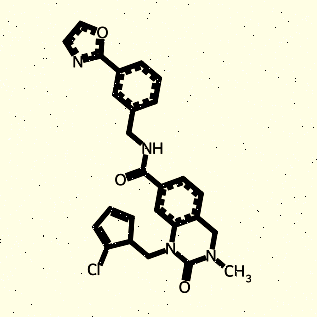 CN1Cc2ccc(C(=O)NCc3cccc(-c4ncco4)c3)cc2N(CC2C=CC=C2Cl)C1=O